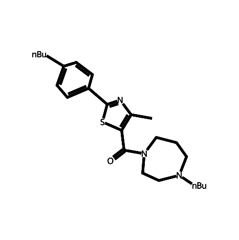 CCCCc1ccc(-c2nc(C)c(C(=O)N3CCCN(CCCC)CC3)s2)cc1